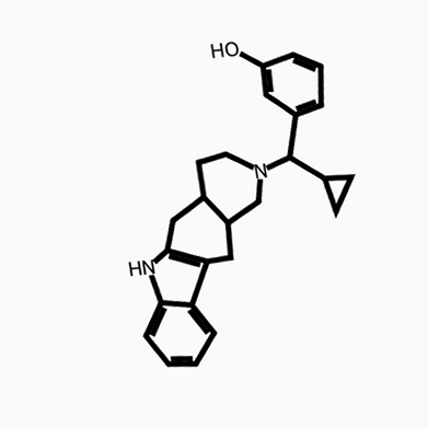 Oc1cccc(C(C2CC2)N2CCC3Cc4[nH]c5ccccc5c4CC3C2)c1